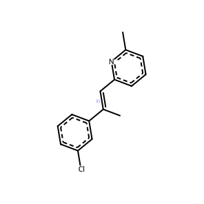 C/C(=C\c1cccc(C)n1)c1cccc(Cl)c1